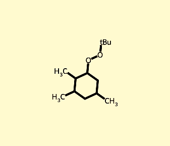 CC1CC(C)C(C)C(OOC(C)(C)C)C1